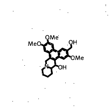 COc1cc2c3c(c4cc(OC)c(OC)cc4c2cc1CO)CN1CCCCC1C3O